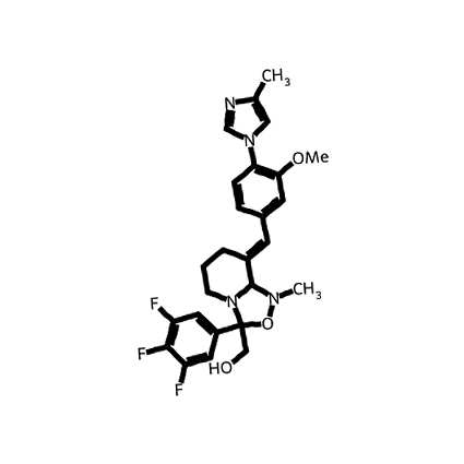 COc1cc(C=C2CCCN3C2N(C)OC3(CO)c2cc(F)c(F)c(F)c2)ccc1-n1cnc(C)c1